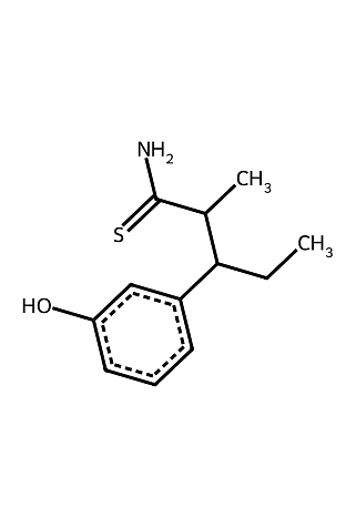 CCC(c1cccc(O)c1)C(C)C(N)=S